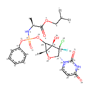 CCC(CC)COC(=O)[C@H](C)NP(=O)(Oc1ccccc1)OC1[C@H]2O[C@@H](n3ccc(=O)[nH]c3=O)[C@@](F)(Cl)[C@@]12O